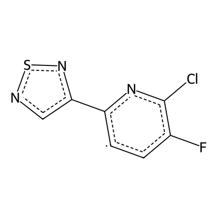 Fc1c[c]c(-c2cnsn2)nc1Cl